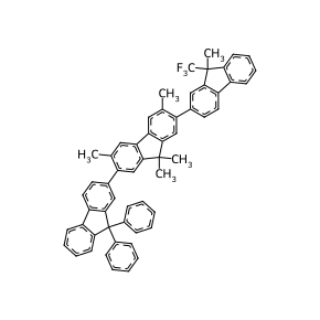 Cc1cc2c(cc1-c1ccc3c(c1)C(c1ccccc1)(c1ccccc1)c1ccccc1-3)C(C)(C)c1cc(-c3ccc4c(c3)C(C)(C(F)(F)F)c3ccccc3-4)c(C)cc1-2